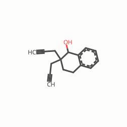 C#CCC1(CC#C)CCc2ccccc2C1O